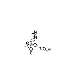 CN(C)CC(=O)N(C)c1ccc(N/C(=C2\C(=O)Nc3cc(Cl)ccc32)c2ccc(CCC(=O)O)cc2)cc1